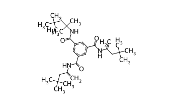 C=C(CC(C)(C)C)NC(=O)c1cc(C(=O)NC(=C)CC(C)(C)C)cc(C(=O)NC(C)(C)CC(C)(C)C)c1